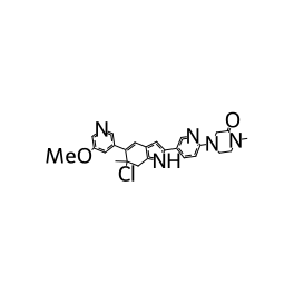 COc1cncc(C2=Cc3cc(-c4ccc(N5CCN(C)C(=O)C5)nc4)[nH]c3CC2(C)Cl)c1